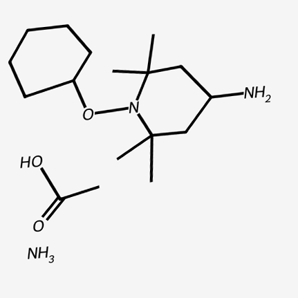 CC(=O)O.CC1(C)CC(N)CC(C)(C)N1OC1CCCCC1.N